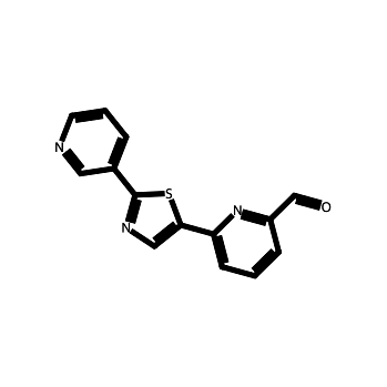 O=Cc1cccc(-c2cnc(-c3cccnc3)s2)n1